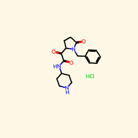 Cl.O=C(NC1CCNCC1)C(=O)C1CCC(=O)N1Cc1ccccc1